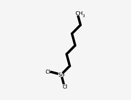 CCCCC[CH2][Sn]([Cl])[Cl]